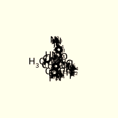 CC(C)(C)CCNC(=N)N(C(=O)c1ccc(-n2cncn2)cc1)[C@H](COC(=O)NC1(C(F)(F)F)CC1)c1ccc(Cl)c(-n2ncnc2C(F)F)c1